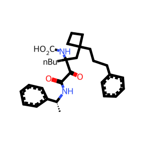 CCCCC(CC1(CCCc2ccccc2)CCC1)(NC(=O)O)C(=O)C(=O)N[C@H](C)c1ccccc1